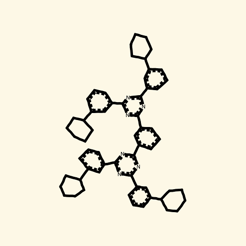 c1cc(-c2nc(-c3cccc(C4CCCCC4)c3)nc(-c3cccc(C4CCCCC4)c3)n2)cc(-c2nc(-c3cccc(C4CCCCC4)c3)nc(-c3cccc(C4CCCCC4)c3)n2)c1